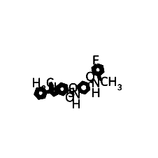 C[C@@H](NC(=O)[C@H]1CC[C@H](NS(=O)(=O)c2ccc3c(c2)cc(-c2ccccc2)n3C)CC1)c1ccc(F)cc1